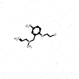 C=CCN(C)Cc1cc([N+](=O)[O-])ccc1OCCCl